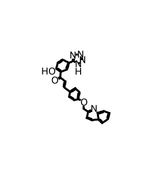 O=C(/C=C/c1ccc(OCc2ccc3ccccc3n2)cc1)c1cc(-c2nnn[nH]2)ccc1O